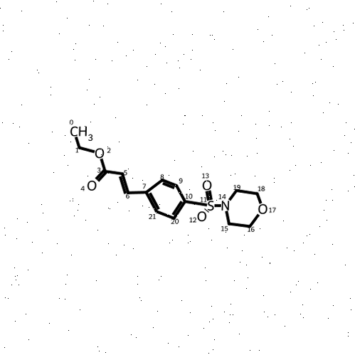 CCOC(=O)/C=C/c1ccc(S(=O)(=O)N2CCOCC2)cc1